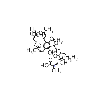 C=CCC(CCC(=O)c1c(O)c2c(c(CC=C(C)C)c1OC)OC(C)(CCC=C(C)C)C=C2)C(O)C(C)(O)C/C=C(/C)C(=O)O